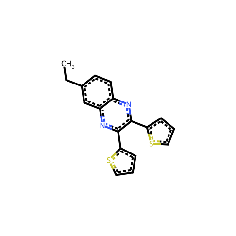 CCc1ccc2nc(-c3cccs3)c(-c3cccs3)nc2c1